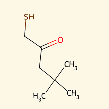 CC(C)(C)CC(=O)CS